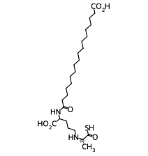 C[C@H](NCCCC(NC(=O)CCCCCCCCCCCCCCCCC(=O)O)C(=O)O)C(=O)S